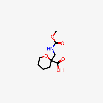 COC(=O)NCC1(C(=O)O)CCCCO1